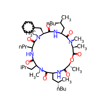 CCCC[C@@H](C)CC1NC(=O)[C@@H](C)OC(=O)[C@H](C)N(C)C(=O)C(C[C@H](C)CCCC)NC(=O)[C@H](Cc2ccccc2)N(C)C(=O)C(CCC)NC(=O)C(CC(C)C)N(C)C1=O